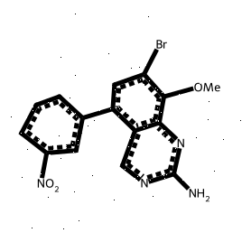 COc1c(Br)cc(-c2cccc([N+](=O)[O-])c2)c2cnc(N)nc12